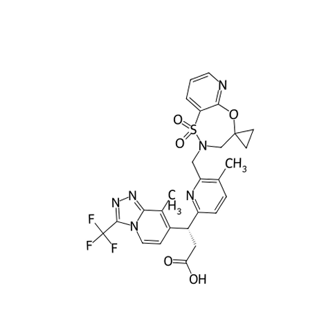 Cc1ccc([C@H](CC(=O)O)c2ccn3c(C(F)(F)F)nnc3c2C)nc1CN1CC2(CC2)Oc2ncccc2S1(=O)=O